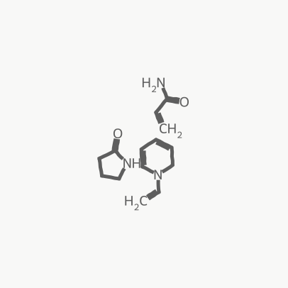 C=CC(N)=O.C=CN1C=CC=CC1.O=C1CCCN1